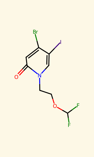 O=c1cc(Br)c(I)cn1CCOC(F)F